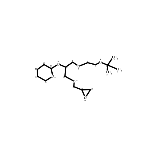 CC(C)(C)OCCOCC(COCC1CO1)OC1CCCCO1